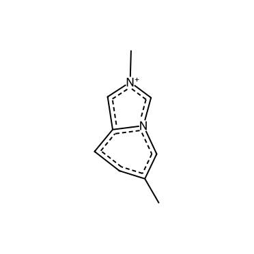 Cc1ccc2c[n+](C)cn2c1